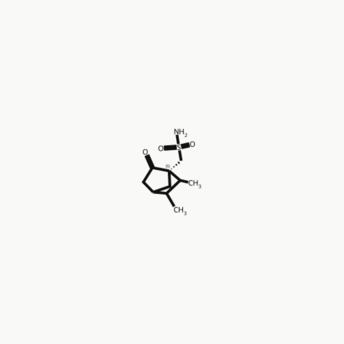 CC1C2CC(=O)[C@](CS(N)(=O)=O)(C2)C1C